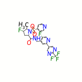 CC1C(F)CC(C(=O)NCc2cc(-c3cnc(C(F)(F)F)nc3)ncc2F)N1S(=O)(=O)c1ccncc1